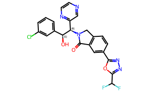 O=C1c2cc(-c3nnc(C(F)F)o3)ccc2CN1[C@H](c1cnccn1)[C@@H](O)c1cccc(Cl)c1